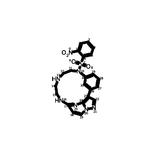 O=[N+]([O-])c1ccccc1S(=O)(=O)N1CCNCCNc2ccn3ncc(c3n2)-c2cccc1c2